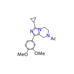 COc1ccc(-c2nc(C3CC3)n3c2CN(C(C)=O)CC3)cc1OC